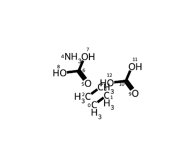 CC.CC.N.O=C(O)O.O=C(O)O